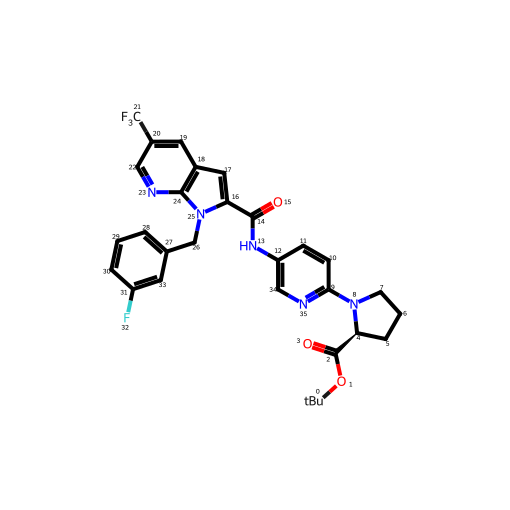 CC(C)(C)OC(=O)[C@@H]1CCCN1c1ccc(NC(=O)c2cc3cc(C(F)(F)F)cnc3n2Cc2cccc(F)c2)cn1